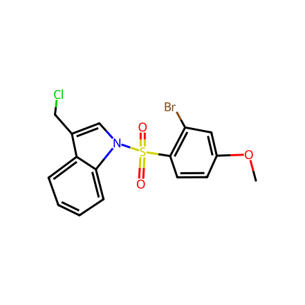 COc1ccc(S(=O)(=O)n2cc(CCl)c3ccccc32)c(Br)c1